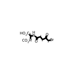 O=C(CBr)CCC(=O)NC(C(=O)O)C(=O)O